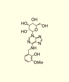 COc1cccc(CNc2ncn(C3O[C@H](CO)[C@@H](O)[C@H](O)[C@H]3O)c3ncnc2-3)c1O